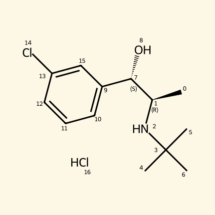 C[C@@H](NC(C)(C)C)[C@@H](O)c1cccc(Cl)c1.Cl